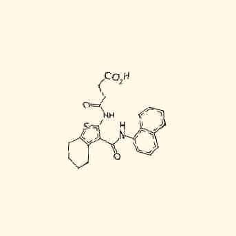 O=C(O)CCC(=O)Nc1sc2c(c1C(=O)Nc1cccc3ccccc13)CCCC2